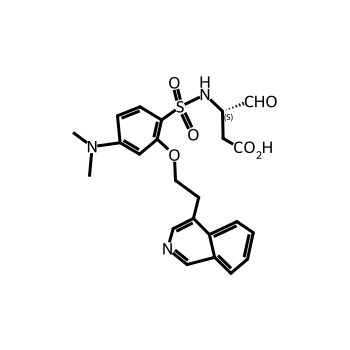 CN(C)c1ccc(S(=O)(=O)N[C@H](C=O)CC(=O)O)c(OCCc2cncc3ccccc23)c1